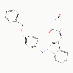 O=C1NC(=O)/C(=C\c2cn(Cc3ccc(OCc4ccccc4)cc3)c3ccccc23)S1